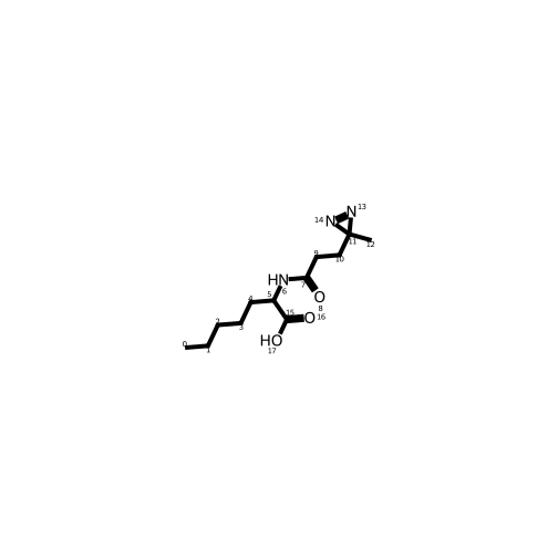 CCCCCC(NC(=O)CCC1(C)N=N1)C(=O)O